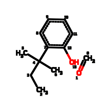 C=O.CCC(C)(C)c1ccccc1O